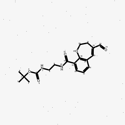 CC(C)(C)OC(=O)NCCNC(=O)c1cccc2c1OCCC([C]=O)=C2